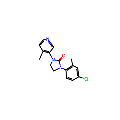 Cc1cc(Cl)ccc1N1CCN(c2cnccc2C)C1=O